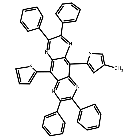 Cc1csc(-c2c3nc(-c4ccccc4)c(-c4ccccc4)nc3c(-c3cccs3)c3nc(-c4ccccc4)c(-c4ccccc4)nc23)c1